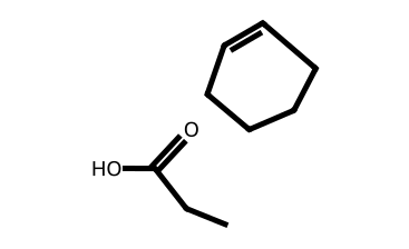 C1=CCCCC1.CCC(=O)O